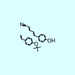 C=Cc1ccc(OC(C)(C)C)cc1.N#CC=CC=Cc1ccc(O)cc1